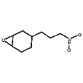 Cl[SiH](Cl)CCCC1CCC2OC2C1